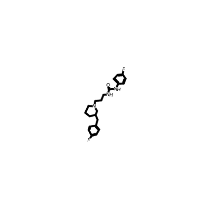 O=C(NCCCN1CCCC(Cc2ccc(F)cc2)C1)Nc1ccc(F)cc1